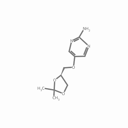 CC1(C)OC[C@H](COc2cnc(N)nc2)O1